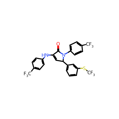 O=C1C(Nc2ccc(C(F)(F)F)cc2)=CC(c2cccc(SC(F)(F)F)c2)N1c1ccc(C(F)(F)F)cc1